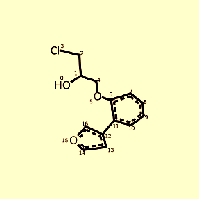 OC(CCl)COc1ccccc1-c1ccoc1